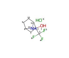 Cl.OC1(C(F)(F)F)CC2CCC1N2